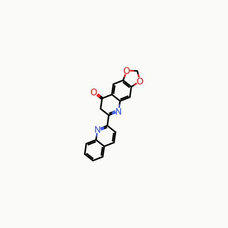 O=C1CC(c2ccc3ccccc3n2)=Nc2cc3c(cc21)OCO3